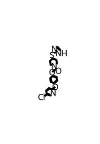 O=C(Oc1ccc(Oc2ccc(Cl)cn2)cc1)N1CCC(Sc2ncc[nH]2)CC1